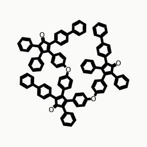 O=C1C(c2ccc(-c3ccccc3)cc2)=C(c2ccccc2)C(c2ccc(Oc3ccc(C4=C(c5ccccc5)C(=O)C(c5ccc(-c6ccccc6)cc5)=C4c4ccc(Oc5ccc(C6=C(c7ccc(-c8ccccc8)cc7)C(=O)C(c7ccccc7)=C6c6ccccc6)cc5)cc4)cc3)cc2)=C1c1ccccc1